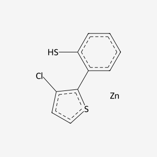 Sc1ccccc1-c1sccc1Cl.[Zn]